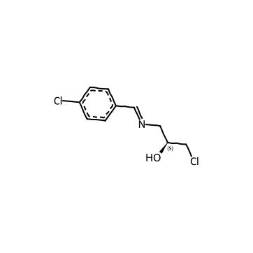 O[C@H](CCl)CN=Cc1ccc(Cl)cc1